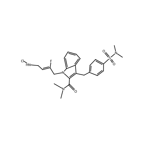 CN(C)C(=O)c1c(Cc2ccc(S(=O)(=O)N(C)C)cc2)c2ccccc2n1C/C(F)=C/CNCl